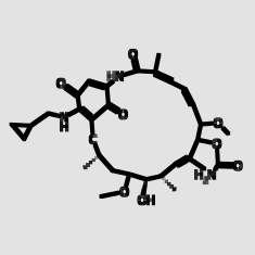 COC1/C=C\C=C(/C)C(=O)NC2=CC(=O)C(NCC3CC3)=C(C[C@@H](C)CC(OC)[C@H](O)[C@@H](C)/C=C(\C)C1OC(N)=O)C2=O